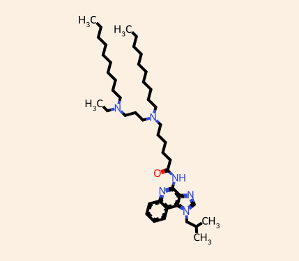 CCCCCCCCCCN(CC)CCCN(CCCCCCCCCC)CCCCCC(=O)Nc1nc2ccccc2c2c1ncn2CC(C)C